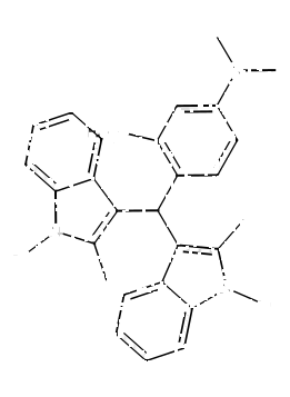 CCn1c(C)c(C(c2ccc(N(C)C)cc2C(=O)O)c2c(C)n(CC)c3ccccc23)c2ccccc21